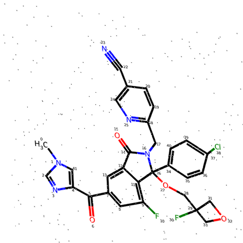 Cn1cnc(C(=O)c2cc(F)c3c(c2)C(=O)N(Cc2ccc(C#N)cn2)C3(OCC2(F)COC2)c2ccc(Cl)cc2)c1